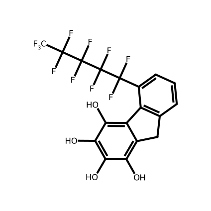 Oc1c(O)c(O)c2c(c1O)Cc1cccc(C(F)(F)C(F)(F)C(F)(F)C(F)(F)C(F)(F)F)c1-2